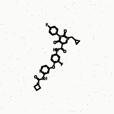 O=C(Nc1ccc(Oc2ccnc(NC(=O)N3CCC3)c2)c(F)c1)c1cn(CC2CC2)c(=O)n(-c2ccc(F)cc2)c1=O